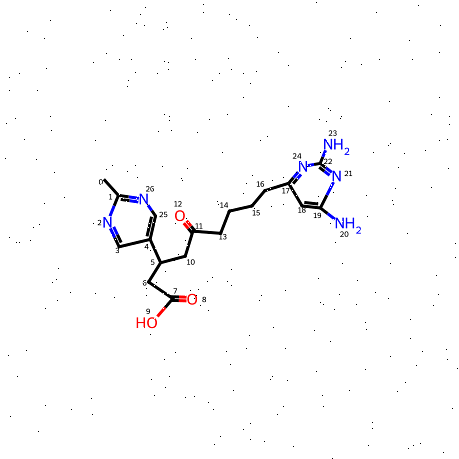 Cc1ncc(C(CC(=O)O)CC(=O)CCCCc2cc(N)nc(N)n2)cn1